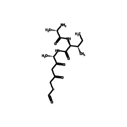 CC[C@H](C)[C@H](NC(=O)[C@H](C)N)C(=O)N[C@@H](C)C(=O)CC(=O)C[C]C=O